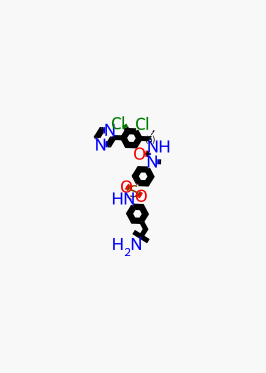 C[C@H](NC(=O)N(C)c1ccc(S(=O)(=O)Nc2ccc(CC(C)(C)N)cc2)cc1)c1ccc(-c2cnccn2)c(Cl)c1Cl